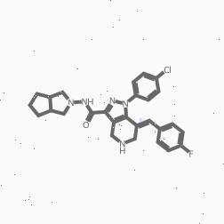 O=C(NN1CC2CCCC2C1)c1nn(-c2ccc(Cl)cc2)c2c1CNC/C2=C\c1ccc(F)cc1